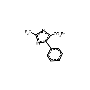 CCOC(=O)c1nc(C(F)(F)F)[nH]c1-c1ccccc1